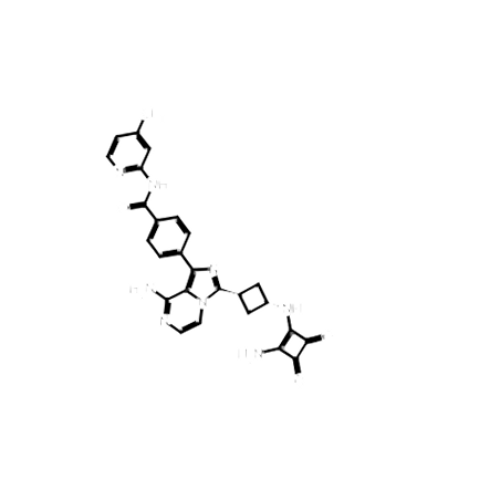 Nc1c(N[C@H]2C[C@H](c3nc(-c4ccc(C(=O)Nc5cc(C(F)(F)F)ccn5)cc4)c4c(N)nccn43)C2)c(=O)c1=O